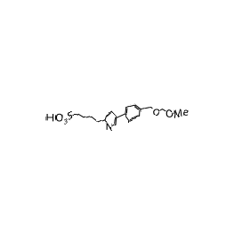 COCOCc1ccc(-c2ccc(CCCCS(=O)(=O)O)nc2)cc1